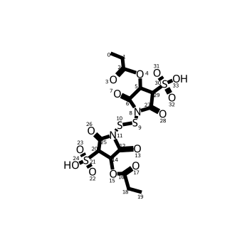 CCC(=O)OC1C(=O)N(SSN2C(=O)C(OC(=O)CC)C(S(=O)(=O)O)C2=O)C(=O)C1S(=O)(=O)O